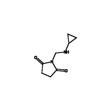 O=C1CCC(=O)N1CNC1CC1